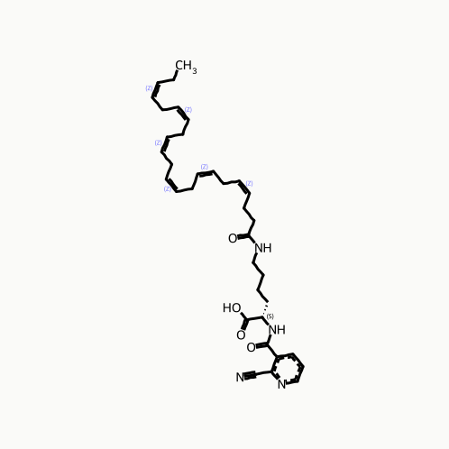 CC/C=C\C/C=C\C/C=C\C/C=C\C/C=C\C/C=C\CCC(=O)NCCCC[C@H](NC(=O)c1cccnc1C#N)C(=O)O